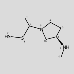 CN[C@@H]1CCN(C(C)SS)C1